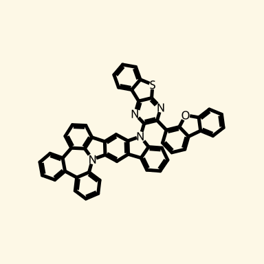 c1ccc2c(c1)-c1ccccc1-n1c3cc4c5ccccc5n(-c5nc6c(nc5-c5cccc7c5oc5ccccc57)sc5ccccc56)c4cc3c3cccc-2c31